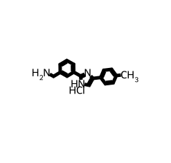 Cc1ccc(-c2c[nH]c(-c3cccc(CN)c3)n2)cc1.Cl